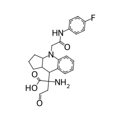 NC(CC=O)(C(=O)O)C1c2ccccc2N(CC(=O)Nc2ccc(F)cc2)C2CCCC21